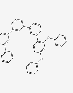 c1ccc(Oc2ccc(-c3cccc(-c4cccc(-c5cccc(-c6ccccc6)c5)c4)c3)c(Oc3ccccc3)c2)cc1